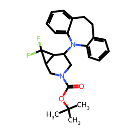 CC(C)(C)OC(=O)N1CC(N2c3ccccc3CCc3ccccc32)C2C(C1)C2(F)F